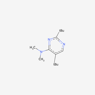 CN(C)c1nc(C(C)(C)C)ncc1C(C)(C)C